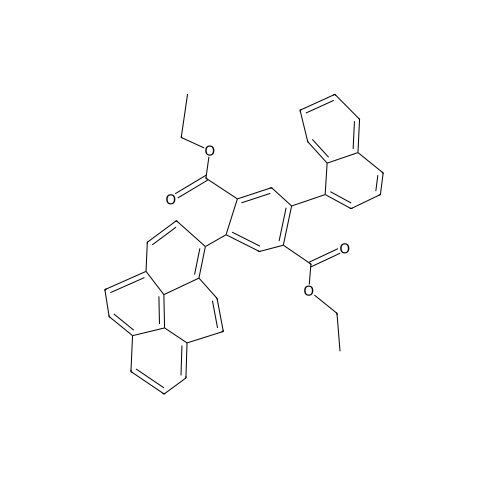 CCOC(=O)c1cc(-c2ccc3ccc4cccc5ccc2c3c45)c(C(=O)OCC)cc1-c1cccc2ccccc12